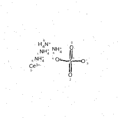 O=S(=O)([O-])[O-].[Ce+3].[NH4+].[NH4+].[NH4+].[NH4+]